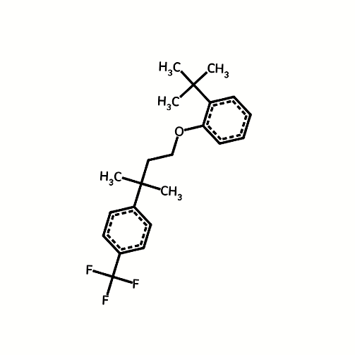 CC(C)(C)c1ccccc1OCCC(C)(C)c1ccc(C(F)(F)F)cc1